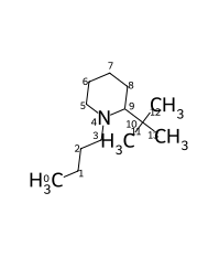 CCCCN1CCCCC1C(C)(C)C